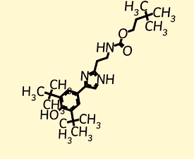 CC(C)(C)CCOC(=O)NCCc1nc(-c2cc(C(C)(C)C)c(O)c(C(C)(C)C)c2)c[nH]1